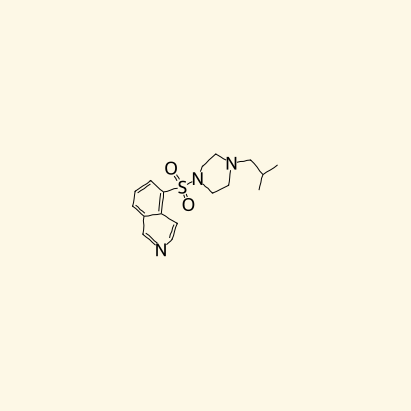 CC(C)CN1CCN(S(=O)(=O)c2cccc3cnccc23)CC1